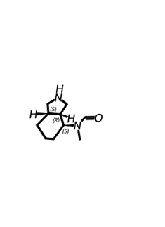 CN(C=O)[C@H]1CCC[C@@H]2CNC[C@@H]21